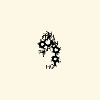 [2H]C([2H])([2H])N1C(=O)c2cccc(OC(F)F)c2[C@H]2C[C@@H]1c1nc3ccc(-c4ccc(CO)c(F)c4)cc3n12